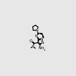 CN(C)C(=O)c1c(N)nn2ccc(N3CCCC3)nc12